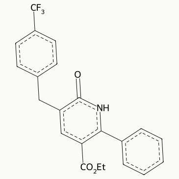 CCOC(=O)c1cc(Cc2ccc(C(F)(F)F)cc2)c(=O)[nH]c1-c1ccccc1